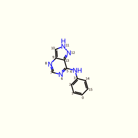 c1ccc(Nc2ncnc3c[nH]nc23)cc1